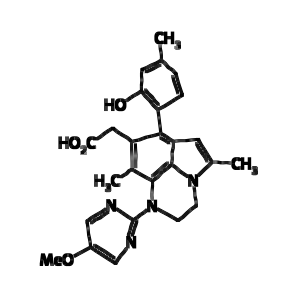 COc1cnc(N2CCn3c(C)cc4c(-c5ccc(C)cc5O)c(CC(=O)O)c(C)c2c43)nc1